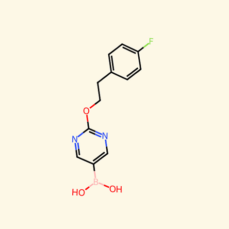 OB(O)c1cnc(OCCc2ccc(F)cc2)nc1